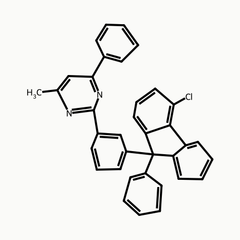 Cc1cc(-c2ccccc2)nc(-c2cccc(C3(c4ccccc4)c4ccccc4-c4c(Cl)cccc43)c2)n1